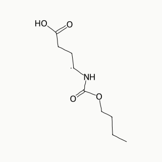 CCCCOC(=O)N[CH]CCC(=O)O